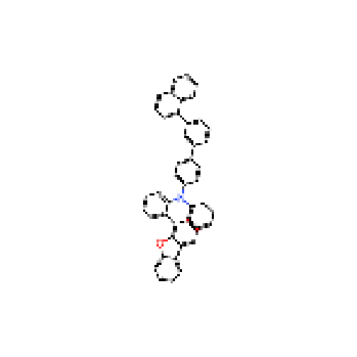 c1cc2c(oc3ccccc32)c(-c2ccccc2N(C2=CC=CCC2)c2ccc(-c3cccc(-c4cccc5ccccc45)c3)cc2)c#1